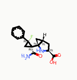 NC(=O)[C@]1([C@]23C[C@@H]2C[C@@H](C(=O)O)N3)C[C@@]1(F)c1ccccc1